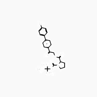 CC(C)(C)OC(=O)N1CCCC1C(=O)OCC(=O)C12CCC(c3ccc(Br)cc3)(CC1)CC2